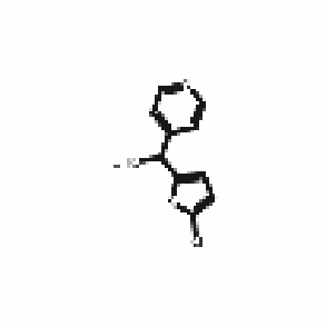 O=CC(c1ccncc1)c1ccc(Cl)s1